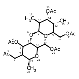 CC(=O)CC1C(OC(C)=O)[C@H](O[C@@H]2OC(COC(C)=O)[C@@H](C)[C@@H](OC(C)=O)C2C)C(COC(C)=O)O[C@H]1C